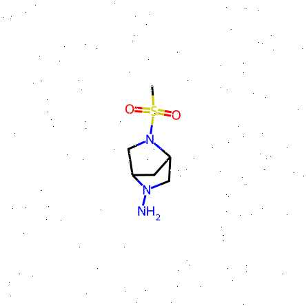 CS(=O)(=O)N1CC2CC1CN2N